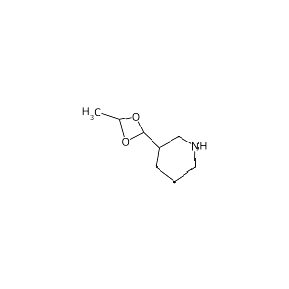 CC1OC(C2CCCNC2)O1